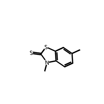 Cc1ccc2c(c1)sc(=S)n2C